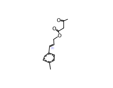 CC(=O)CC(=O)OC/C=C/c1ccc(C)cc1